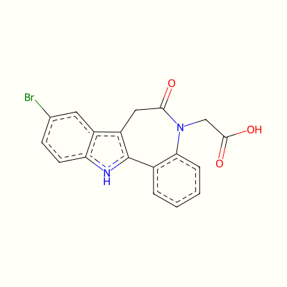 O=C(O)CN1C(=O)Cc2c([nH]c3ccc(Br)cc23)-c2ccccc21